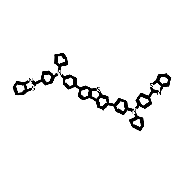 c1ccc(N(c2ccc(-c3ccc4c(c3)sc3cc(-c5ccc(N(c6ccccc6)c6ccc(-c7nc8ccccc8s7)cc6)cc5)ccc34)cc2)c2ccc(-c3nc4ccccc4s3)cc2)cc1